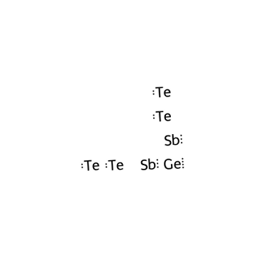 [Ge].[Sb].[Sb].[Te].[Te].[Te].[Te]